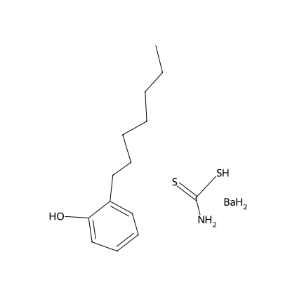 CCCCCCCc1ccccc1O.NC(=S)S.[BaH2]